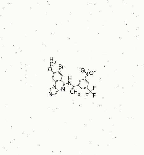 COc1cc2c(cc1Br)c(N[C@H](C)c1cc([N+](=O)[O-])cc(C(F)(F)F)c1)nc1cncn12